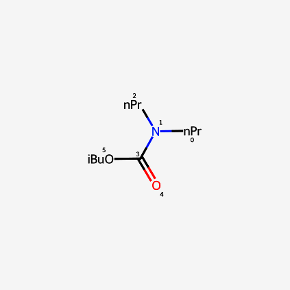 CCCN(CCC)C(=O)OCC(C)C